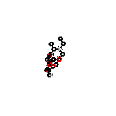 O=P(c1ccccc1)(c1ccccc1)c1ccccc1Oc1cc(-c2cccc(-c3cccc(-c4nc(-c5cccc(-c6ccccc6)c5)nc(-c5cc(-c6ccccc6)cc(-c6ccc(-c7cccc(-c8cc(-c9cccc(-c%10cccnc%10)c9)cc(-c9cccc(-c%10cccnc%10)c9)c8)c7)cn6)c5)n4)c3)c2)ccc1P(=O)(c1ccccc1)c1ccccc1